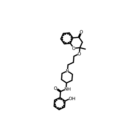 CC1(OCCCN2CCC(NC(=O)c3ccccc3O)CC2)CC(=O)c2ccccc2O1